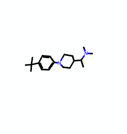 CC(C1CCN(c2ccc(C(C)(C)C)cc2)CC1)N(C)C